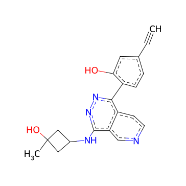 C#Cc1ccc(-c2nnc(NC3CC(C)(O)C3)c3cnccc23)c(O)c1